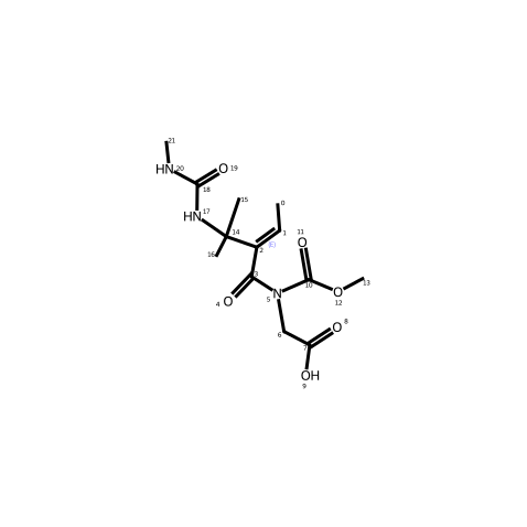 C/C=C(/C(=O)N(CC(=O)O)C(=O)OC)C(C)(C)NC(=O)NC